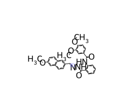 COc1ccc2cc(/C=N/NC(=O)c3ccccc3NC(=O)c3ccc(OC)c(OC)c3)ccc2c1